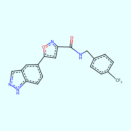 O=C(NCc1ccc(C(F)(F)F)cc1)c1cc(-c2ccc3[nH]ncc3c2)on1